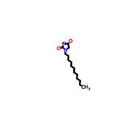 CCCCCCCCCCCCN1CC(=O)[N]C1=O